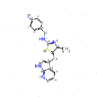 CC1N=C(NCc2ccc(I)cc2)SC1Cc1c[nH]c2ncccc12